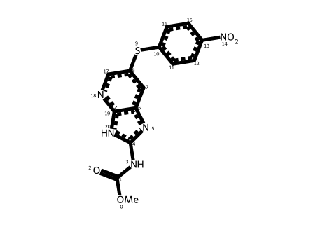 COC(=O)Nc1nc2cc(Sc3ccc([N+](=O)[O-])cc3)cnc2[nH]1